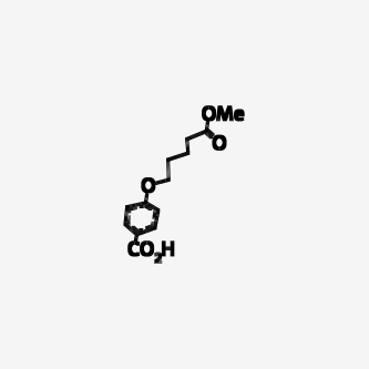 COC(=O)CCCCOc1ccc(C(=O)O)cc1